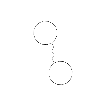 C1CCCCCCCC(CCCCC2CCCCCCCCCCCCCCC2)CCCCCCC1